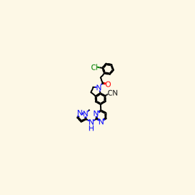 Cn1nccc1Nc1nccc(-c2cc(C#N)c3c(c2)CCN3C(=O)Cc2ccccc2Cl)n1